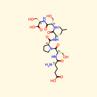 CC(C)C[C@H](NC(=O)[C@@H]1CCCN1C(=O)[C@H](CO)NC(=O)[C@@H](N)CCC(=O)O)C(=O)N[C@@H](CO)C(=O)N[C@@H](CO)C(=O)O